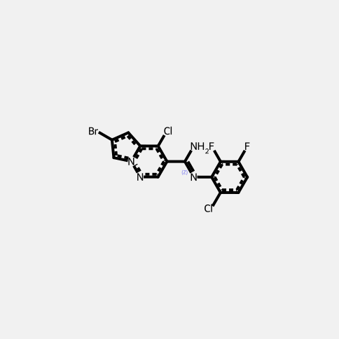 N/C(=N\c1c(Cl)ccc(F)c1F)c1cnn2cc(Br)cc2c1Cl